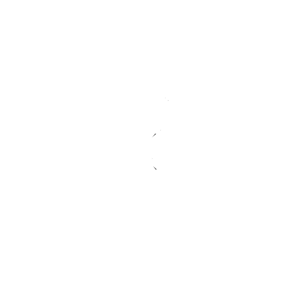 CCCCOC1O[C@@H](n2cc(C)c(=O)[nH]c2=O)[C@H]1OS(C)(=O)=O